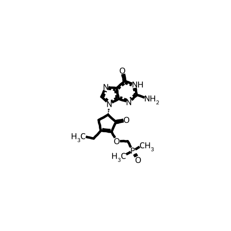 CCC1=C(OCP(C)(C)=O)C(=O)[C@@H](n2cnc3c(=O)[nH]c(N)nc32)C1